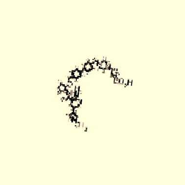 Cn1cc(-c2cnc(N)c(C(=O)N[C@H]3CCC[C@@H]3OCc3ccc(-c4ccc(CN5CCN(CCCC(=O)O)CC5)cc4)cc3)c2)cn1